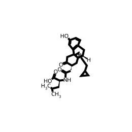 CC(C)C[C@H](NC(=O)C[C@H]1C[C@@]2(O)[C@H]3Cc4ccc(O)cc4[C@@]2(CCN3CC2CC2)CC1=O)C(=O)O